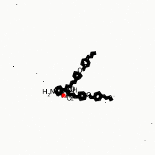 C=CCCC1CCC(COc2ccc(C=CC(=O)CC(c3ccc(N)cc3N)C(O)(O)C(=O)C=Cc3ccc(OCC4CCC(CCC=C)CC4)cc3)cc2)CC1